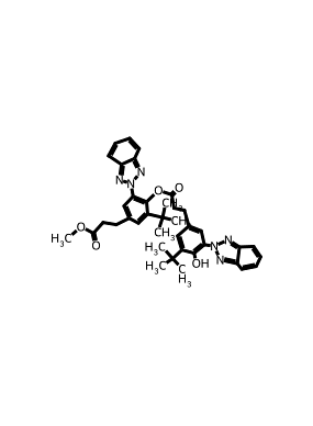 COC(=O)CCc1cc(-n2nc3ccccc3n2)c(OC(=O)CCc2cc(-n3nc4ccccc4n3)c(O)c(C(C)(C)C)c2)c(C(C)(C)C)c1